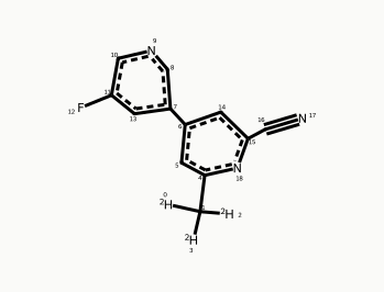 [2H]C([2H])([2H])c1cc(-c2cncc(F)c2)cc(C#N)n1